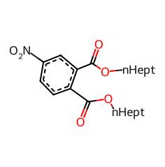 CCCCCCCOC(=O)c1ccc([N+](=O)[O-])cc1C(=O)OCCCCCCC